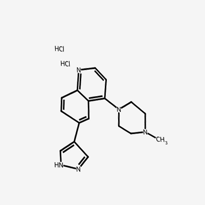 CN1CCN(c2ccnc3ccc(-c4cn[nH]c4)cc23)CC1.Cl.Cl